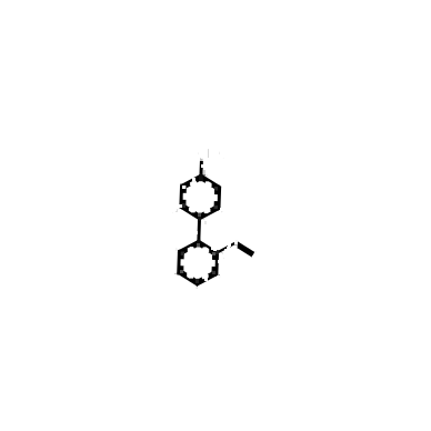 C=Cc1ccccc1-c1ccc(C=O)cc1